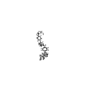 COc1ccc(-c2cn(Cc3ccc(-c4noc(C(F)(F)F)n4)cc3)nn2)cc1